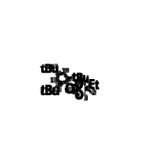 CCC1(C)COP(Oc2c(C(C)(C)C)cc(C(C)(C)C)cc2C(C)(C)C)OC1